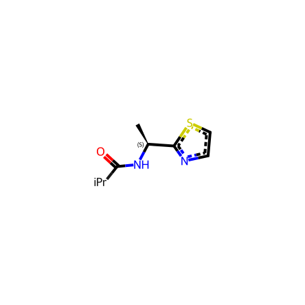 CC(C)C(=O)N[C@@H](C)c1nccs1